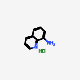 Cl.Nc1cccc2cccnc12